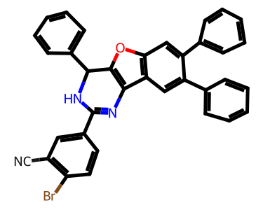 N#Cc1cc(C2=Nc3c(oc4cc(-c5ccccc5)c(-c5ccccc5)cc34)C(c3ccccc3)N2)ccc1Br